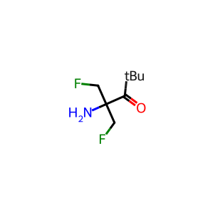 CC(C)(C)C(=O)C(N)(CF)CF